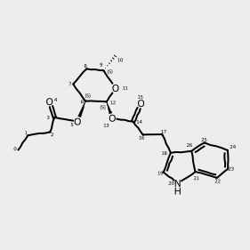 CCCC(=O)O[C@H]1CC[C@H](C)O[C@H]1OC(=O)CCc1c[nH]c2ccccc12